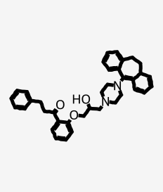 O=C(CCc1ccccc1)c1ccccc1OCC(O)CN1CCN(C2=C3C=CC=CC3CCc3ccccc32)CC1